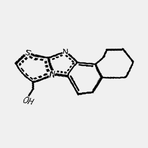 Oc1csc2nc3c(n12)=CCC1CCCCC=31